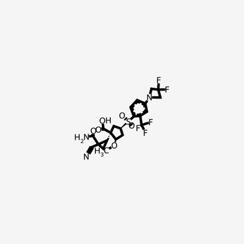 CO[C@@H]1C[C@H](S(=O)(=O)c2ccc(N3CC(F)(F)C3)cc2C(F)(F)F)C[C@@]1(C(=O)O)C1CC1(C#N)C(N)=O